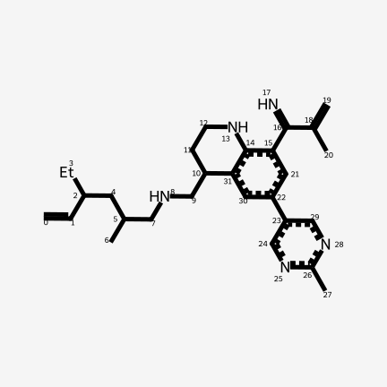 C=CC(CC)CC(C)CNCC1CCNc2c(C(=N)C(=C)C)cc(-c3cnc(C)nc3)cc21